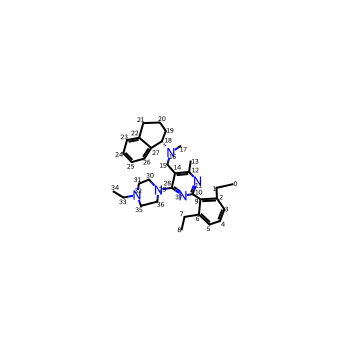 CCc1cccc(CC)c1-c1nc(C)c(CN(C)[C@H]2CCCc3ccccc32)c(N2CCN(CC)CC2)n1